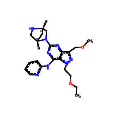 CCOCCn1nc(COC)c2nc(N3C[C@@H]4C[C@H]3CN4)nc(Nc3ccccn3)c21